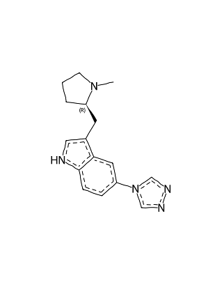 CN1CCC[C@@H]1Cc1c[nH]c2ccc(-n3cnnc3)cc12